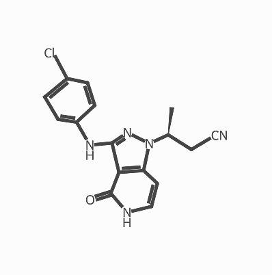 C[C@@H](CC#N)n1nc(Nc2ccc(Cl)cc2)c2c(=O)[nH]ccc21